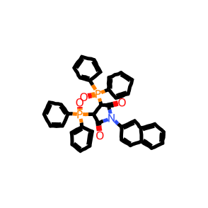 O=C1C(P(=O)(c2ccccc2)c2ccccc2)C(P(=O)(c2ccccc2)c2ccccc2)C(=O)N1c1ccc2ccccc2c1